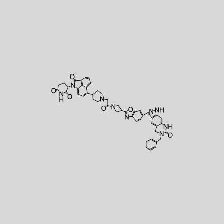 O=C1CCC(N2C(=O)c3cccc4c(C5CCN(CC(=O)N6CC(c7nc8ccc(-c9n[nH]c%10cc%11c(cc9%10)CN(Cc9ccccc9)C(=O)N%11)cc8o7)C6)CC5)ccc2c34)C(=O)N1